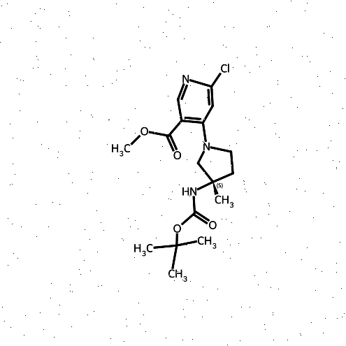 COC(=O)c1cnc(Cl)cc1N1CC[C@](C)(NC(=O)OC(C)(C)C)C1